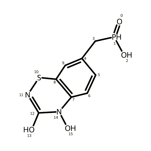 O=[PH](O)Cc1ccc2c(c1)SN=C(O)N2O